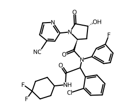 N#Cc1ccnc(N2C(=O)[C@H](O)C[C@H]2C(=O)N(c2cccc(F)c2)C(C(=O)NC2CCC(F)(F)CC2)c2ccccc2Cl)c1